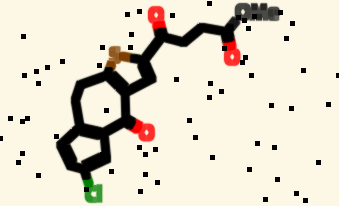 COC(=O)CCC(=O)c1cc2c(s1)CCc1ccc(Cl)cc1C2=O